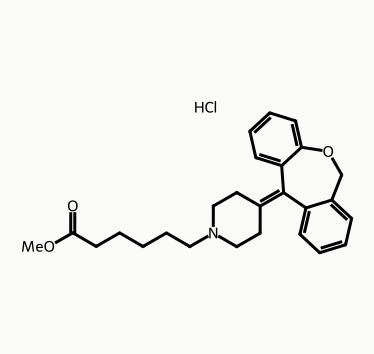 COC(=O)CCCCCN1CCC(=C2c3ccccc3COc3ccccc32)CC1.Cl